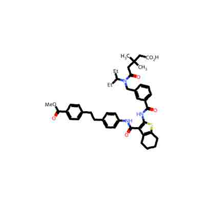 CCC(CC)N(Cc1cccc(C(=O)Nc2sc3c(c2C(=O)Nc2ccc(CCc4ccc(C(=O)OC)cc4)cc2)CCCC3)c1)C(=O)CC(C)(C)CC(=O)O